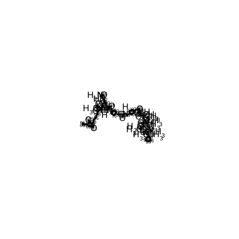 CN[C@H](C(=O)N[C@H](C(=O)N(C)[C@H](/C=C(\C)C(=O)NS(=O)(=O)Cc1ccc(CNC(=O)OCc2ccc(NC(=O)[C@H](CCCNC(N)=O)NC(=O)[C@@H](NC(=O)CCCCCN3C(=O)CC(C4CC4)C3=O)C(C)C)cc2)cc1)C(C)C)C(C)(C)C)C(C)(C)c1ccccc1